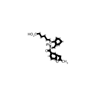 Cc1cc2cc(C(=O)N(Cc3ccccc3OCCCCCC(=O)O)C(C)C)ccc2o1